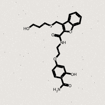 NC(=O)c1ccc(OCCNC(=O)c2oc3ccccc3c2CSCCCO)cc1O